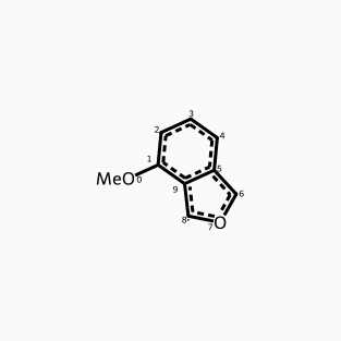 COc1cccc2co[c]c12